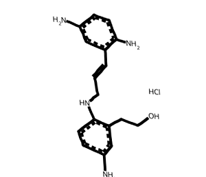 Cl.Nc1ccc(N)c(C=CCNc2ccc(N)cc2CCO)c1